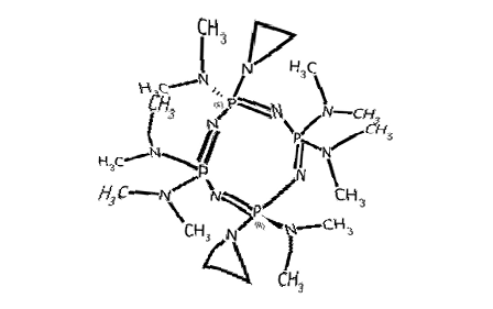 CN(C)P1(N(C)C)=N[P@](N(C)C)(N2CC2)=NP(N(C)C)(N(C)C)=N[P@@](N(C)C)(N2CC2)=N1